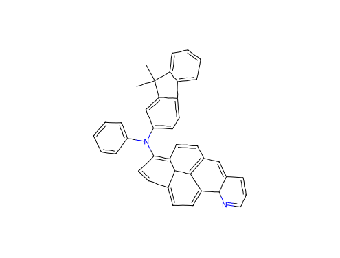 CC1(C)c2ccccc2-c2ccc(N(C3=C4C=CC5=C6C(=CC=C(C=C3)C46)C3N=CC=CC3=C5)c3ccccc3)cc21